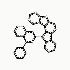 c1ccc(-c2nc(-n3c4ccccc4c4ccc5sc6ncncc6c5c43)nc3ccccc23)cc1